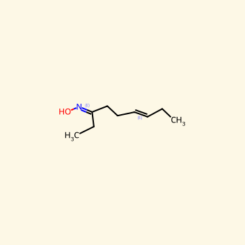 CC/C=C/CC/C(CC)=N/O